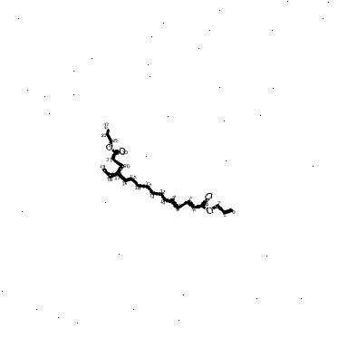 CCCOC(=O)CCCCCCCCCCCC(CC)CCC(=O)OCCC